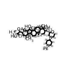 CC(=O)O[C@@H](C1C[C@@H](C)[C@H]2C(O1)[C@H](O)[C@@]1(C)C3CC[C@H]4C(C)(C)[C@@H](O[C@H]5CN(C6CCN(C(C)C)CC6)CCO5)CC[C@@]45C[C@@]35CC[C@]21C)C(C)(C)O